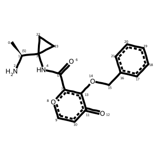 C[C@H](N)C1(NC(=O)c2occc(=O)c2OCc2ccccc2)CC1